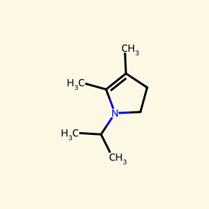 CC1=C(C)N(C(C)C)CC1